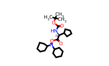 CC(C)(C)OC(=O)N[C@H](C(=O)ON(C1CCCCC1)C1CCCCC1)C1CCCC1